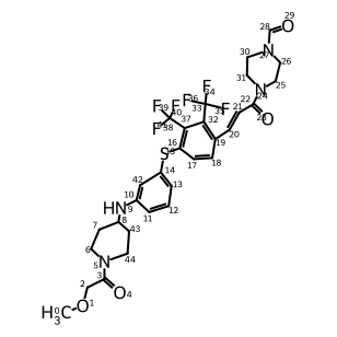 COCC(=O)N1CCC(Nc2cccc(Sc3ccc(/C=C/C(=O)N4CCN(C=O)CC4)c(C(F)(F)F)c3C(F)(F)F)c2)CC1